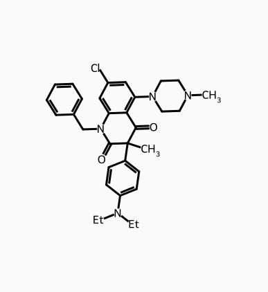 CCN(CC)c1ccc(C2(C)C(=O)c3c(N4CCN(C)CC4)cc(Cl)cc3N(Cc3ccccc3)C2=O)cc1